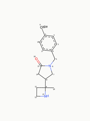 COc1ccc(CN2CC(C3(C)CCN3)CC2=O)cc1